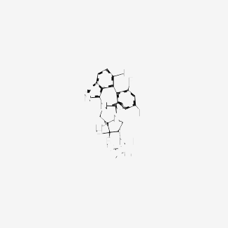 CS(=O)(=O)N[C@@H]1CN2C(=O)N(c3noc4ccc(F)c(-c5c(F)cc(F)cc5F)c34)C[C@@H]2C1(F)F